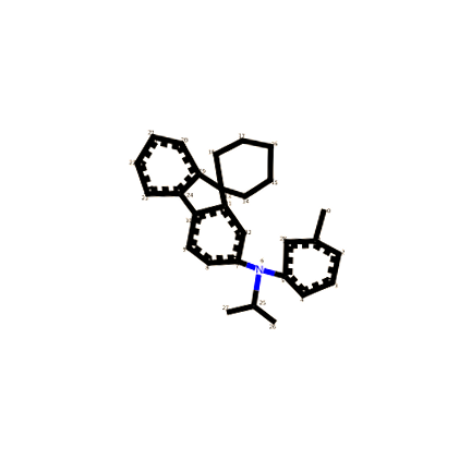 Cc1cccc(N(c2ccc3c(c2)C2(CCCCC2)c2ccccc2-3)C(C)C)c1